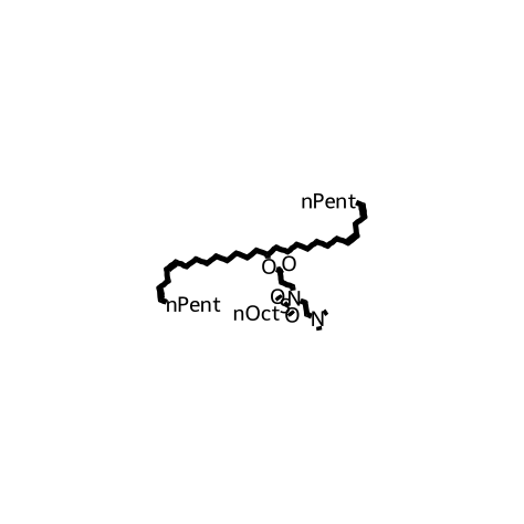 CCCCC/C=C\C/C=C\CCCCCCCCC(CCCCCCC/C=C\C/C=C\CCCCC)OC(=O)CCN(CCN(C)C)S(=O)(=O)CCCCCCCC